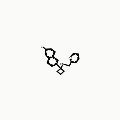 Clc1ccc2cc(C3(NCc4ccccn4)CCC3)ccc2c1